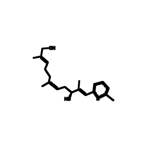 C/C(=C/C[C@H](O)/C(C)=C/c1cccc(C)n1)CC/C=C(\C)CO